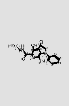 Cc1nc(C(=O)NCC(=O)O)c(O)c2c(Cl)cn(-c3ccccc3)c12